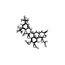 C=CCC1CC(N(Cc2cc(C(F)(F)F)cc(C(F)(F)F)c2)C(=O)OC)c2cc(OC)c(OC)cc2N1C(=O)OCC